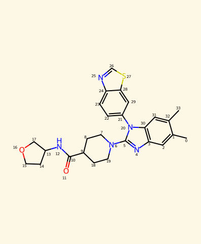 Cc1cc2nc(N3CCC(C(=O)NC4CCOC4)CC3)n(-c3ccc4ncsc4c3)c2cc1C